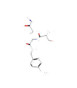 COc1ccc(CNC(=O)[C@H](CCC(=O)C=N)NC(=O)[C@H](CO)NC(C)=O)cc1